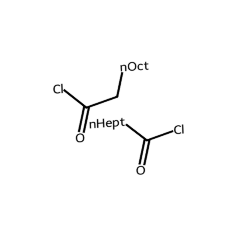 CCCCCCCC(=O)Cl.CCCCCCCCCC(=O)Cl